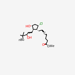 CCCCC(C)(C)[C@H](O)/C=C/[C@@H]1[C@@H](CC=C=CCCC(=O)OC)[C@@H](Cl)C[C@H]1O